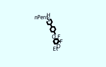 CCCCC[SiH]1CCC(C2CCC(COc3ccc(OCC)c(F)c3F)CC2)CC1